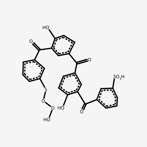 O=C(c1ccc(O)c(C(=O)c2cccc(SOOO)c2)c1)c1ccc(O)c(C(=O)c2cccc(S(=O)(=O)O)c2)c1